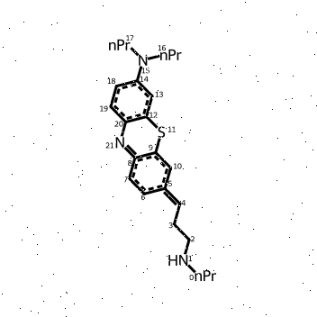 CCCNCCC=c1ccc2c(c1)Sc1cc(N(CCC)CCC)ccc1N=2